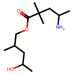 CC(N)CC(C)(C)C(=O)OCC(C)CC(C)O